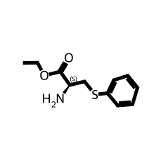 CCOC(=O)[C@H](N)CSc1ccccc1